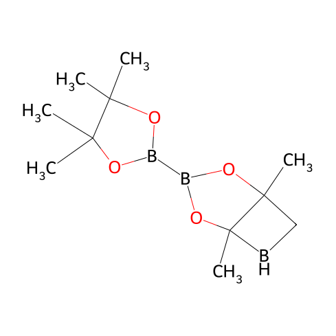 CC1(C)OB(B2OC3(C)BCC3(C)O2)OC1(C)C